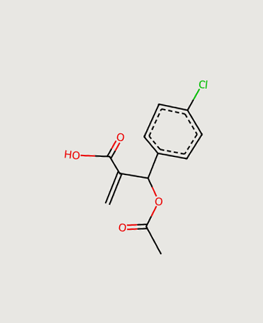 C=C(C(=O)O)C(OC(C)=O)c1ccc(Cl)cc1